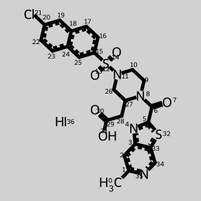 Cc1cc2nc(C(=O)N3CCN(S(=O)(=O)c4ccc5cc(Cl)ccc5c4)CC3CC(=O)O)sc2cn1.I